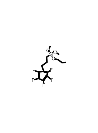 CCCO[Si](CCCc1c(F)c(F)c(F)c(F)c1F)(OC)OC